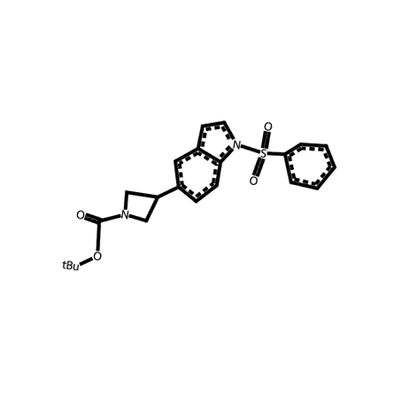 CC(C)(C)OC(=O)N1CC(c2ccc3c(ccn3S(=O)(=O)c3ccccc3)c2)C1